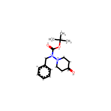 CC(C)(C)OC(=O)N(Cc1ccccc1)N1CCC(=O)CC1